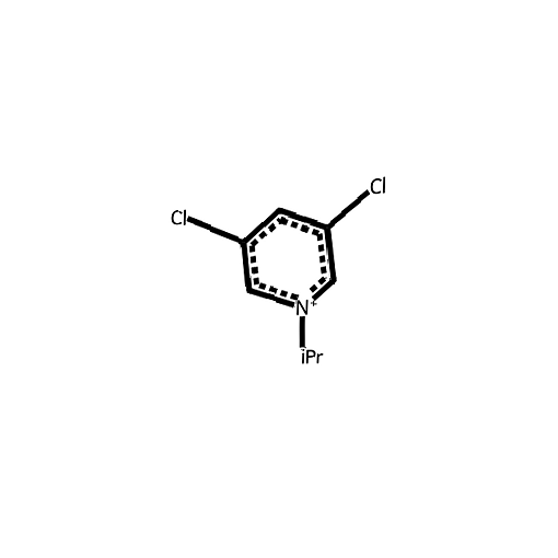 CC(C)[n+]1cc(Cl)cc(Cl)c1